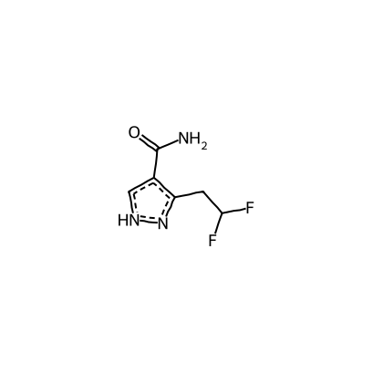 NC(=O)c1c[nH]nc1CC(F)F